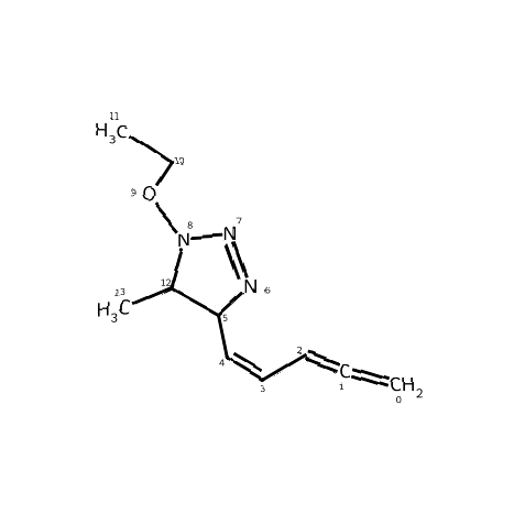 C=C=C/C=C\C1N=NN(OCC)C1C